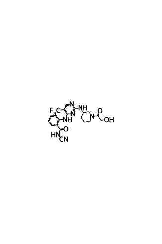 N#CNC(=O)c1ccccc1Nc1nc(N[C@H]2CCCN(C(=O)CO)C2)ncc1C(F)(F)F